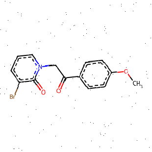 COc1ccc(C(=O)Cn2cccc(Br)c2=O)cc1